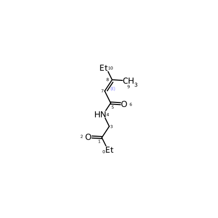 CCC(=O)CNC(=O)/C=C(\C)CC